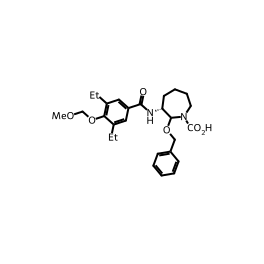 CCc1cc(C(=O)N[C@@H]2CCCCN(C(=O)O)C2OCc2ccccc2)cc(CC)c1OCOC